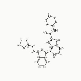 O=C(NC1CCOCC1)c1nc2c(N3CC(CCN4CCCC4)c4ccccc43)ncnc2s1